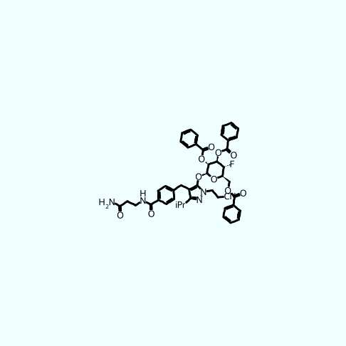 CC(C)c1nn(CCC#N)c(O[C@@H]2O[C@H](COC(=O)c3ccccc3)[C@@H](F)[C@H](OC(=O)c3ccccc3)[C@H]2OC(=O)c2ccccc2)c1Cc1ccc(C(=O)NCCC(N)=O)cc1